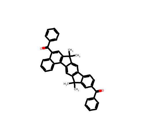 CC1(C)c2cc(C(=O)c3ccccc3)ccc2-c2cc3c(cc21)-c1c(cc(C(=O)c2ccccc2)c2ccccc12)C3(C)C